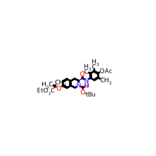 CCOC(=O)C(C)(C)Oc1ccc2c(c1)CN(C(=O)OC(C)(C)C)[C@H](C(=O)Nc1cc(C)c(OC(C)=O)c(C)c1C)C2